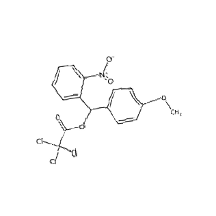 COc1ccc(C(OC(=O)C(Cl)(Cl)Cl)c2ccccc2[N+](=O)[O-])cc1